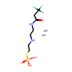 O=C(CC(F)(F)F)NCCNCCSP(=O)(O)O.[LiH].[LiH]